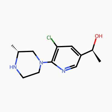 C[C@@H]1CN(c2ncc([C@H](C)O)cc2Cl)CCN1